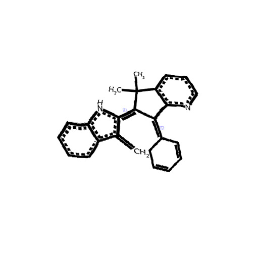 C=c1/c(=C2\C(=C3\C=CC=CC3)c3ncccc3C2(C)C)[nH]c2ccccc12